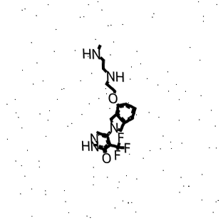 CNCCNCCOc1cccc2c1CN(c1cn[nH]c(=O)c1C(F)(F)F)C2